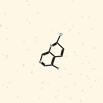 Fc1cncc2nc(Cl)ccc12